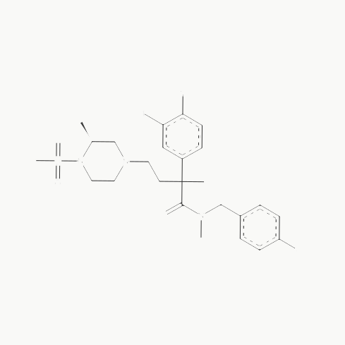 C[C@H]1CN(CCC(C)(C(=O)N(C)Cc2ccc(C(F)(F)F)cc2)c2ccc(Cl)c(Cl)c2)CCN1S(C)(=O)=O